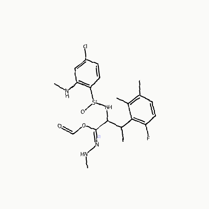 CN/N=C(\OC=O)C(N[S+]([O-])c1ccc(Cl)cc1NC)C(C)c1c(F)ccc(C)c1C